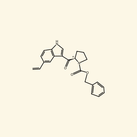 C=Cc1ccc2[nH]cc(C(=O)[C@H]3CCCN3C(=O)OCc3ccccc3)c2c1